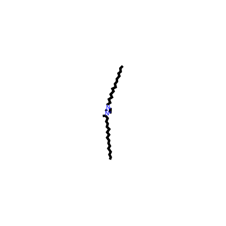 CCCCCCCCCCCCCCCCC(C)[n+]1ccn(CCCCCCCCCCCCCCCC)c1